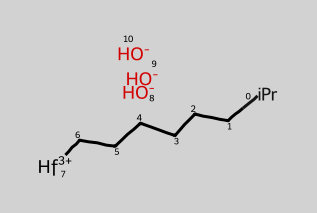 CC(C)CCCCC[CH2][Hf+3].[OH-].[OH-].[OH-]